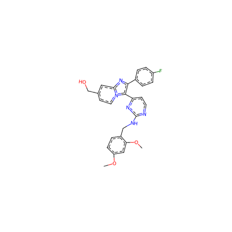 COc1ccc(CNc2nccc(-c3c(-c4ccc(F)cc4)nc4cc(CO)ccn34)n2)c(OC)c1